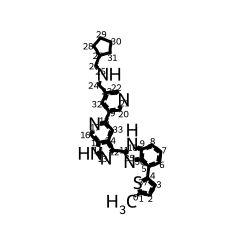 Cc1ccc(-c2cccc3[nH]c(-c4n[nH]c5cnc(-c6cncc(CNCC7CCCC7)c6)cc45)nc23)s1